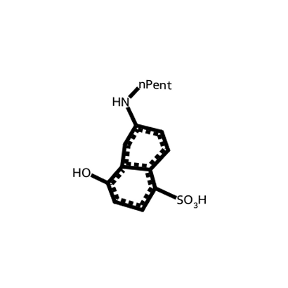 CCCCCNc1ccc2c(S(=O)(=O)O)ccc(O)c2c1